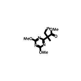 COC(=O)C(C)(CC(C)C)c1nc(OC)nc(OC)n1